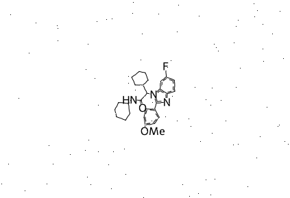 COc1ccc(-c2nc3ccc(F)cc3n2C(C(=O)NC2CCCCC2)C2CCCCC2)cc1